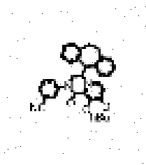 CCCCOc1c2n(ccc1=O)C(C1c3ccccc3CCc3ccccc31)CN(c1cccc(C#N)c1)C2=O